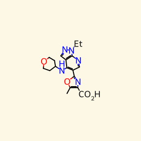 CCn1ncc2c(NC3CCOCC3)c(-c3nc(C(=O)O)c(C)o3)cnc21